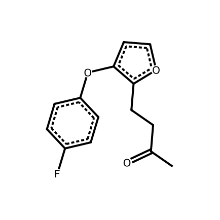 CC(=O)CCc1occc1Oc1ccc(F)cc1